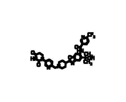 CC(C)(O)c1cc2nc(C3CCN(Cc4ccc(N5CCC(=O)NC5=O)cn4)CC3)oc2cc1NC(=O)c1ccc(C(F)(F)F)nc1